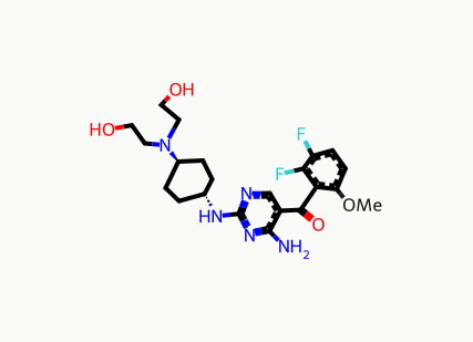 COc1ccc(F)c(F)c1C(=O)c1cnc(N[C@H]2CC[C@H](N(CCO)CCO)CC2)nc1N